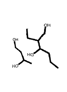 CC(O)CCO.CCCC(O)C(CC)CO